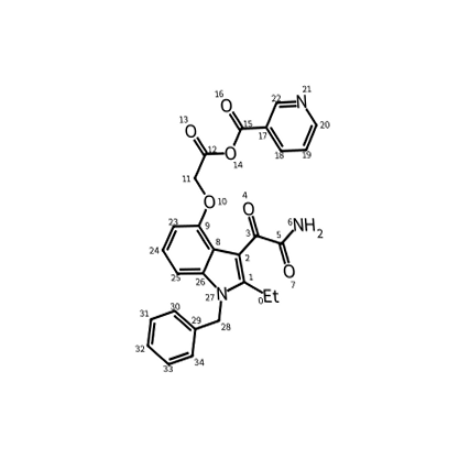 CCc1c(C(=O)C(N)=O)c2c(OCC(=O)OC(=O)c3cccnc3)cccc2n1Cc1ccccc1